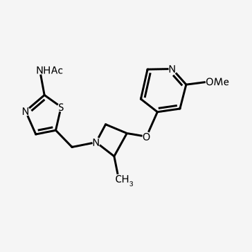 COc1cc(OC2CN(Cc3cnc(NC(C)=O)s3)C2C)ccn1